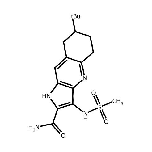 CC(C)(C)C1CCc2nc3c(NS(C)(=O)=O)c(C(N)=O)[nH]c3cc2C1